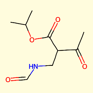 CC(=O)C(CNC=O)C(=O)OC(C)C